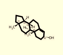 C[C@@]12CCC[C@H]1[C@@H]1CCC3=C[C@H](O)CC[C@]3(C)[C@H]1CC2